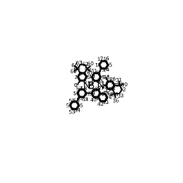 Cc1cc2c(cc1N1B3c4ccc(-c5ccccc5)cc4N(c4cc5c(cc4C)C(C)(C)CCC5(C)C)c4c3c(cc3ccccc43)-c3cc(-c4ccccc4)ccc31)C(C)(C)CCC2(C)C